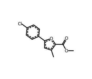 COC(=O)c1oc(-c2ccc(Cl)cc2)cc1C